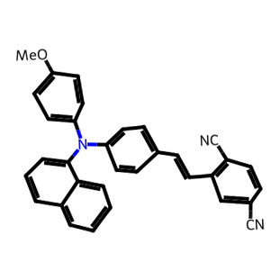 COc1ccc(N(c2ccc(C=Cc3cc(C#N)ccc3C#N)cc2)c2cccc3ccccc23)cc1